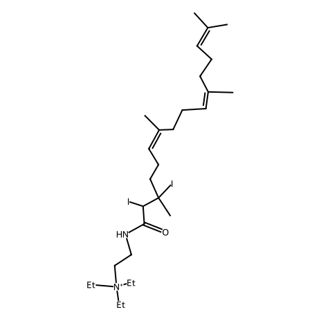 CC[N+](CC)(CC)CCNC(=O)C(I)C(C)(I)CCC=C(C)CCC=C(C)CCC=C(C)C